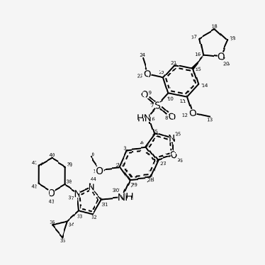 COc1cc2c(NS(=O)(=O)c3c(OC)cc([C@H]4CCCO4)cc3OC)noc2cc1Nc1cc(C2CC2)n(C2CCCCO2)n1